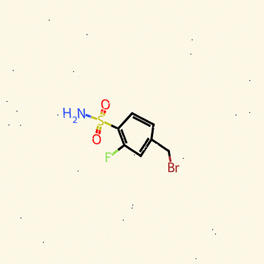 NS(=O)(=O)c1ccc(CBr)cc1F